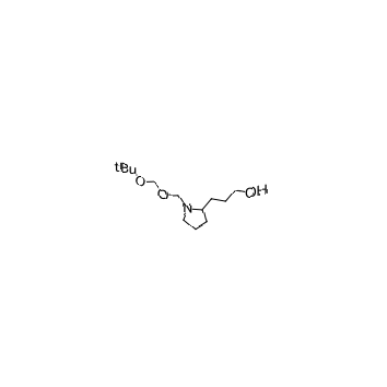 CC(C)(C)OCOCN1CCCC1CCCO